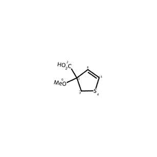 COC1(C(=O)O)[CH]S[C]=C1